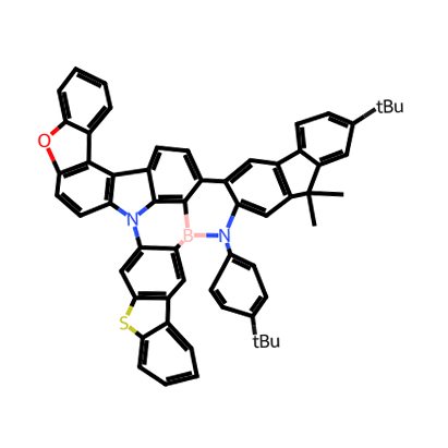 CC(C)(C)c1ccc(N2B3c4cc5c(cc4-n4c6ccc7oc8ccccc8c7c6c6ccc(c3c64)-c3cc4c(cc32)C(C)(C)c2cc(C(C)(C)C)ccc2-4)sc2ccccc25)cc1